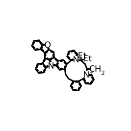 C=C1CC(CC)(CC)[n+]2ccccc2-c2cc3c4cc5oc6ccccc6c5c5c6ccccc6n(c3cc2CCc2ccccc2-c2cccc[n+]21)c45